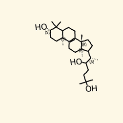 C[C@H](C(O)CCC(C)(C)O)C1CC[C@@]2(C)C3=C(CC[C@]12C)[C@@]1(C)CC[C@H](O)C(C)(C)C1CC3